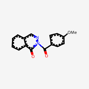 COc1ccc(C(=O)n2ncc3ccccc3c2=O)cc1